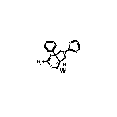 Cl.Cl.NC1=NC2(c3ccccc3)CN(c3ncccn3)C[C@H]2CS1